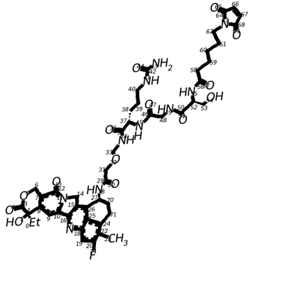 CC[C@@]1(O)C(=O)OCc2c1cc1n(c2=O)Cc2c-1nc1cc(F)c(C)c3c1c2[C@@H](NC(=O)COCNC(=O)[C@H](CCCNC(N)=O)NC(=O)CNC(=O)[C@H](CO)NC(=O)CCCCCN1C(=O)C=CC1=O)CC3